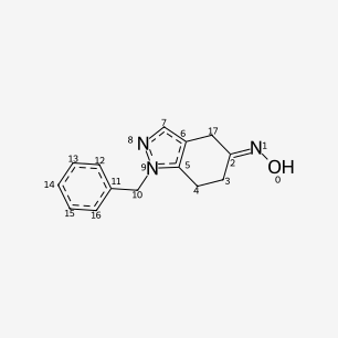 ON=C1CCc2c(cnn2Cc2ccccc2)C1